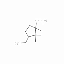 CC1(C(=O)O)CCC(CC#N)C1(C)C